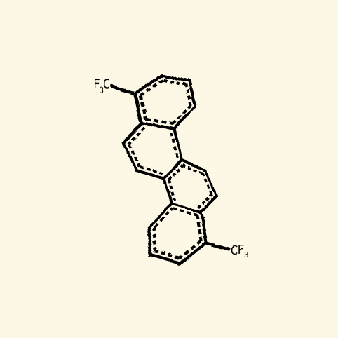 FC(F)(F)c1cccc2c1ccc1c3cccc(C(F)(F)F)c3ccc21